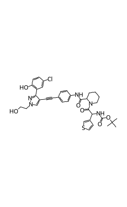 CC(C)(C)OC(=O)NC(C(=O)N1CCCCC1C(=O)Nc1ccc(C#Cc2cn(CCO)nc2-c2cc(Cl)ccc2O)cc1)c1ccsc1